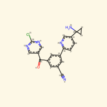 N#Cc1cc(C(=O)c2cnc(Cl)nc2)cc(-c2ccc(C3(N)CC3)cn2)c1